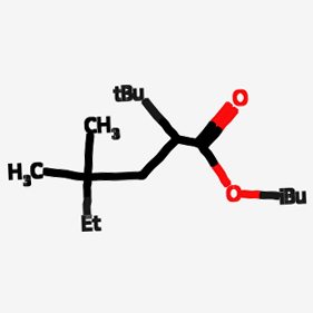 CCC(C)OC(=O)C(CC(C)(C)CC)C(C)(C)C